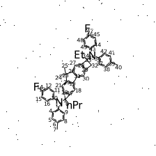 CCCC1(N(c2ccc(C)cc2)c2ccc(F)cc2)c2cc3c(cc21)C(C)(C)c1cc2c(cc1-3)CC2(CC)N(c1ccc(C)cc1)c1ccc(F)cc1